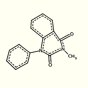 Cn1c(=O)c2ccccc2n(-c2ccccc2)c1=O